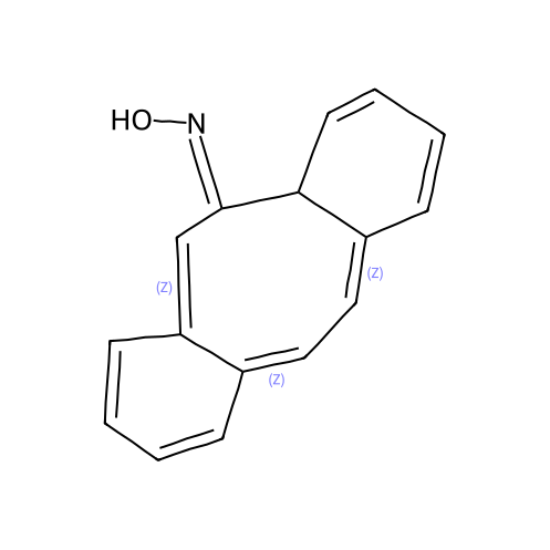 ON=C1/C=c2/cccc/c2=C/C=C2/C=CC=CC12